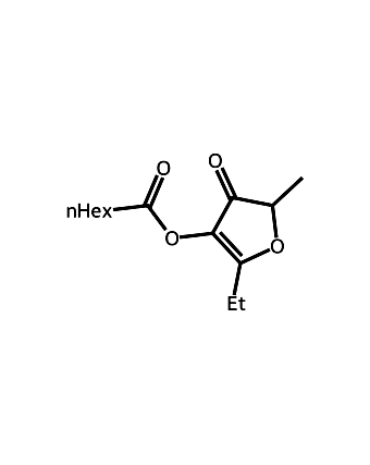 CCCCCCC(=O)OC1=C(CC)OC(C)C1=O